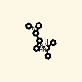 C1=Cc2c(n(-c3ccccc3)c3ccc(-c4ccc5c(c4)c4ccccc4n5C4NC(c5ccccc5)=CC(c5ccccc5)N4)cc23)CC1